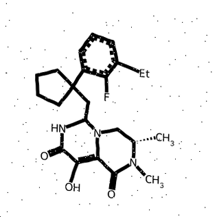 CCc1cccc(C2(CC3NC(=O)C(O)=C4C(=O)N(C)[C@@H](C)CN43)CCCC2)c1F